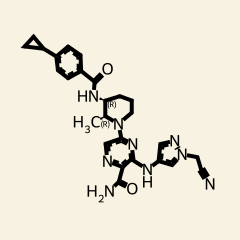 C[C@@H]1[C@H](NC(=O)c2ccc(C3CC3)cc2)CCCN1c1cnc(C(N)=O)c(Nc2cnn(CC#N)c2)n1